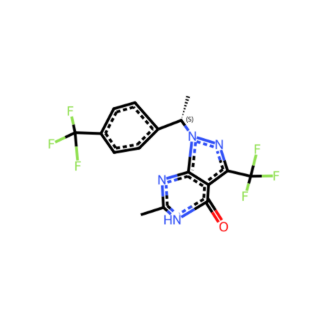 Cc1nc2c(c(C(F)(F)F)nn2[C@@H](C)c2ccc(C(F)(F)F)cc2)c(=O)[nH]1